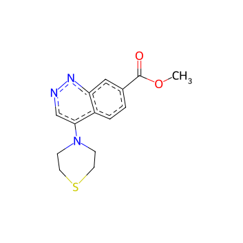 COC(=O)c1ccc2c(N3CCSCC3)cnnc2c1